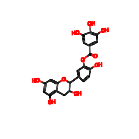 O=C(Oc1cc(C2Oc3cc(O)cc(O)c3CC2O)ccc1O)c1cc(O)c(O)c(O)c1